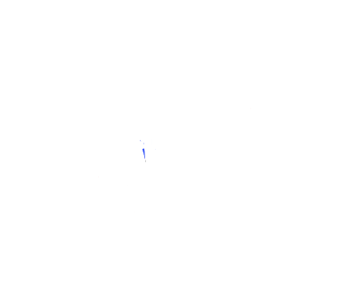 C#CCOC(=O)[C@@H](N)Cc1ccc(OCC#C)cc1